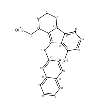 O=CCC1CCCn2c1c(Sc1ccc3ccccc3c1)c1c(S)ccnc12